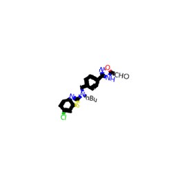 CCCCN(Cc1ccc(C2=NOC(C=O)N2)cc1)c1nc2ccc(Cl)cc2s1